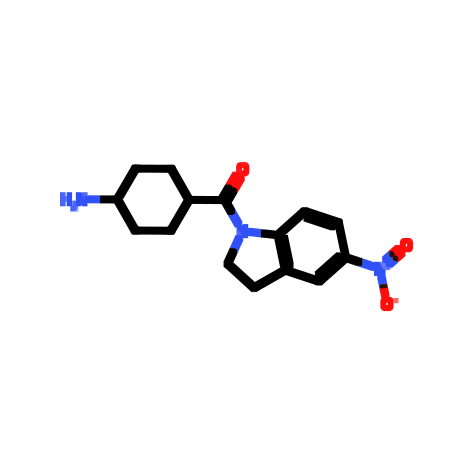 NC1CCC(C(=O)N2CCc3cc([N+](=O)[O-])ccc32)CC1